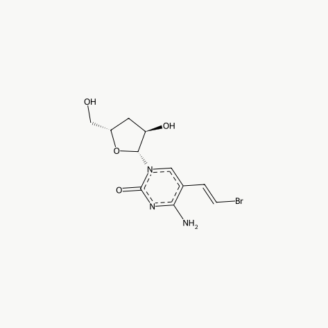 Nc1nc(=O)n([C@@H]2O[C@H](CO)C[C@H]2O)cc1/C=C/Br